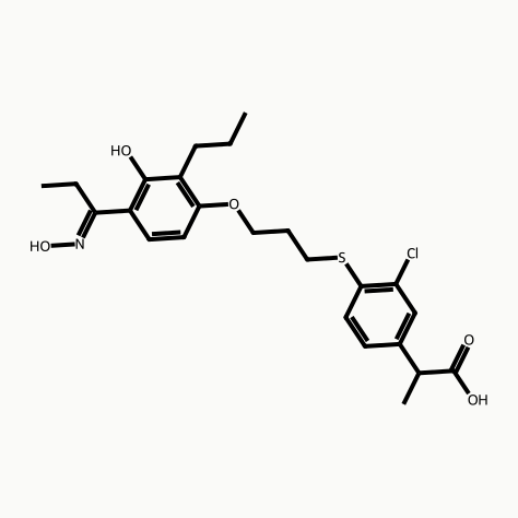 CCCc1c(OCCCSc2ccc(C(C)C(=O)O)cc2Cl)ccc(C(CC)=NO)c1O